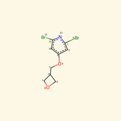 Brc1cc(OCC2COC2)cc(Br)n1